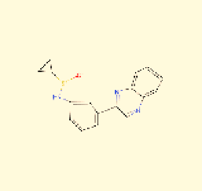 [O-][S+](Nc1cccc(-c2cnc3ccccc3n2)c1)C1CC1